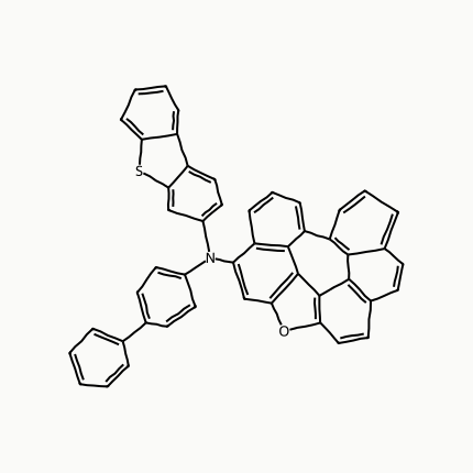 c1ccc(-c2ccc(N(c3ccc4c(c3)sc3ccccc34)c3cc4oc5ccc6ccc7cccc8c7c6c5c4c4c-8cccc34)cc2)cc1